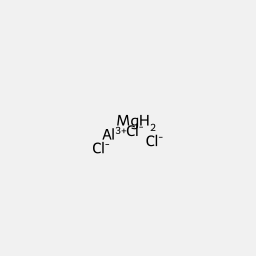 [Al+3].[Cl-].[Cl-].[Cl-].[MgH2]